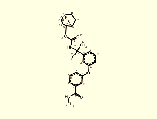 CNC(=O)c1cccc(Oc2cccc(C(C)(C)NC(=O)OC3CCN4CCC3CC4)c2)c1